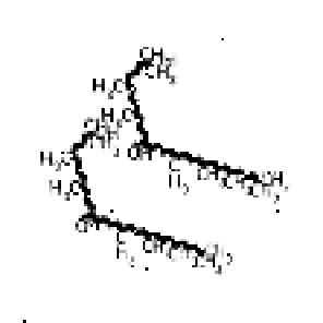 CC(C)=CCC/C(C)=C/C=C/C(C)=C/C=C/C(C)=C/C=C/C=C(\C=C\C=C(C)\C=C\C=C(/C)CCCC(C)(C)O)CO.CC(C)=CCC/C(C)=C/C=C/C(C)=C/C=C/C(C)=C/C=C/C=C(\C=C\C=C(C)\C=C\C=C(/C)CCCC(C)(C)O)CO